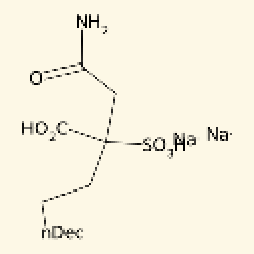 CCCCCCCCCCCCC(CC(N)=O)(C(=O)O)S(=O)(=O)O.[Na].[Na]